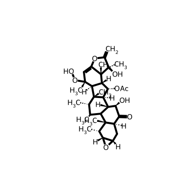 C=C1OC2=C[C@@](C)(OO)[C@H]3[C@@H]([C@H](OC(C)=O)[C@H]4[C@H]5C([C@H](C)[C@H](C)[C@@]43C)[C@]3(C)[C@H](C[C@@H]4O[C@@H]4[C@@H]3C)C(=O)[C@@H]5O)[C@@]2(C)[C@]1(C)O